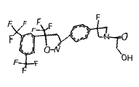 O=C(CO)N1CC(F)(c2ccc(C3=NOC(c4cc(C(F)(F)F)cc(C(F)(F)F)c4)(C(F)(F)F)C3)cc2)C1